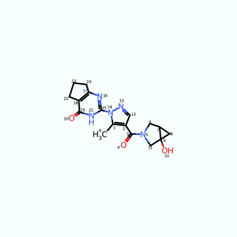 Cc1c(C(=O)N2CC3CC3(O)C2)cnn1-c1nc2c(c(=O)[nH]1)CCC2